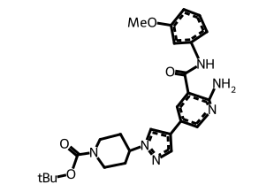 COc1cccc(NC(=O)c2cc(-c3cnn(C4CCN(C(=O)OC(C)(C)C)CC4)c3)cnc2N)c1